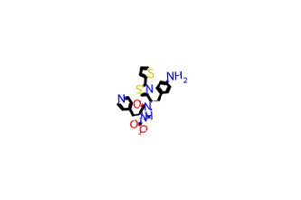 COC(=O)N(C)[C@@H](Cc1ccncc1)C(=O)N[C@@H](Cc1ccc(N)cc1)c1csc(-c2cccs2)n1